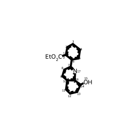 CCOC(=O)c1ccccc1-c1ccc2cccc(O)c2n1